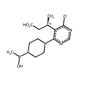 CB(O)N1CCN(c2ncnc(Cl)c2[C@H](C)CC(=O)O)CC1